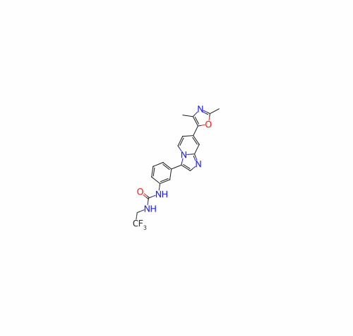 Cc1nc(C)c(-c2ccn3c(-c4cccc(NC(=O)NCC(F)(F)F)c4)cnc3c2)o1